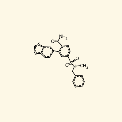 CN(Cc1ccccc1)S(=O)(=O)c1ccc(C(N)=O)c(-c2ccc3ncsc3c2)c1